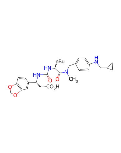 CCCC[C@H](NC(=O)N[C@@H](CC(=O)O)c1ccc2c(c1)OCO2)C(=O)N(C)Cc1ccc(NCC2CC2)cc1